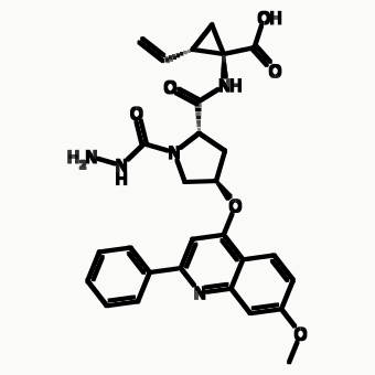 C=C[C@@H]1C[C@]1(NC(=O)[C@@H]1C[C@@H](Oc2cc(-c3ccccc3)nc3cc(OC)ccc23)CN1C(=O)NN)C(=O)O